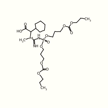 CCCOC(=O)OCCCOP(=O)(NC(=N)[As](C)C(C(=O)O)C1CCCCC1)OCCCOC(=O)OCCC